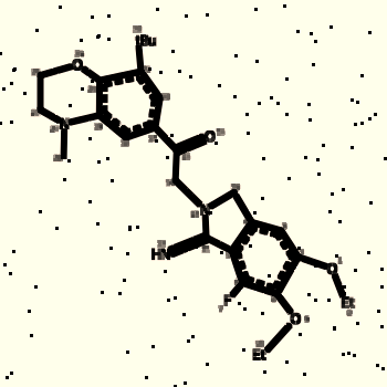 CCOc1cc2c(c(F)c1OCC)C(=N)N(CC(=O)c1cc3c(c(C(C)(C)C)c1)OCCN3C)C2